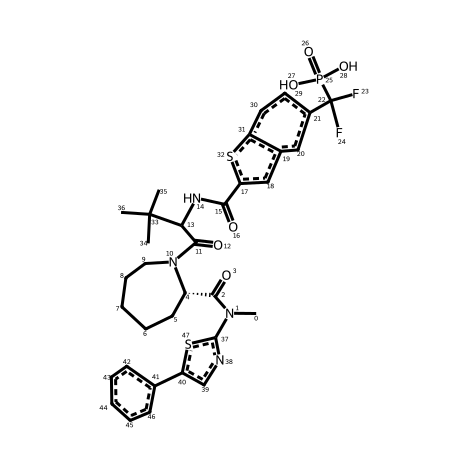 CN(C(=O)[C@@H]1CCCCCN1C(=O)C(NC(=O)c1cc2cc(C(F)(F)P(=O)(O)O)ccc2s1)C(C)(C)C)c1ncc(-c2ccccc2)s1